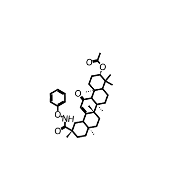 CC(=O)O[C@H]1CC[C@@]2(C)C(CC[C@]3(C)C2C(=O)C=C2C4C[C@@](C)(C(=O)NOc5ccccc5)CC[C@]4(C)CC[C@]23C)C1(C)C